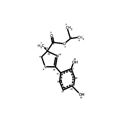 CC(C)OC(=O)[C@@]1(C)CSC(c2ccc(O)cc2O)=N1